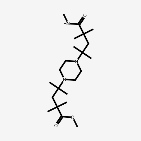 CNC(=O)C(C)(C)CC(C)(C)N1CCN(C(C)(C)CC(C)(C)C(=O)OC)CC1